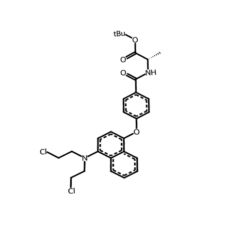 C[C@H](NC(=O)c1ccc(Oc2ccc(N(CCCl)CCCl)c3ccccc23)cc1)C(=O)OC(C)(C)C